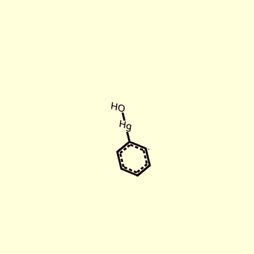 [OH][Hg][c]1[c]cccc1